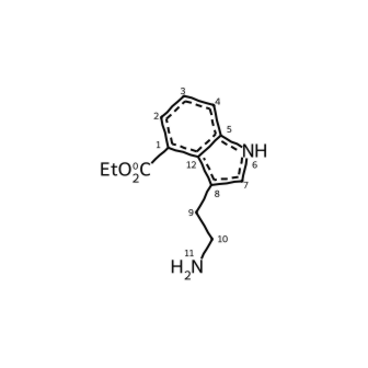 CCOC(=O)c1cccc2[nH]cc(CCN)c12